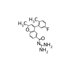 Cc1ccc(F)cc1C1=CC(C)Oc2ccc(C(=O)N=C(N)N)cc21